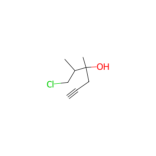 C#CCC(C)(O)C(C)CCl